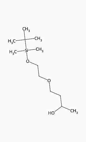 CC(O)CCOCCO[Si](C)(C)C(C)(C)C